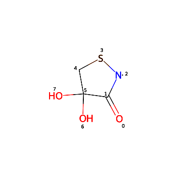 O=C1[N]SCC1(O)O